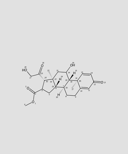 COC(=O)C1C[C@H]2[C@@H]3CCC4=CC(=O)C=C[C@]4(C)[C@H]3C(O)C[C@]2(C)[C@H]1C(=O)CO